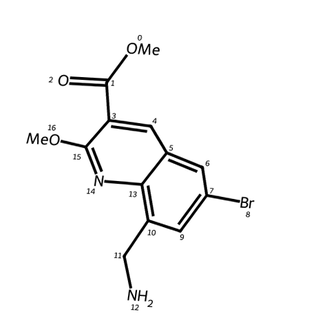 COC(=O)c1cc2cc(Br)cc(CN)c2nc1OC